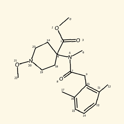 COC(=O)C1(N(C)C(=O)Cc2c(C)cccc2C)CCN(OC)CC1